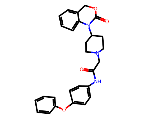 O=C(CN1CCC(N2C(=O)OCc3ccccc32)CC1)Nc1ccc(Oc2ccccc2)cc1